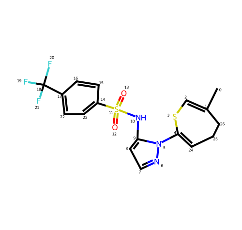 CC1=CSC(n2nccc2NS(=O)(=O)c2ccc(C(F)(F)F)cc2)=CCC1